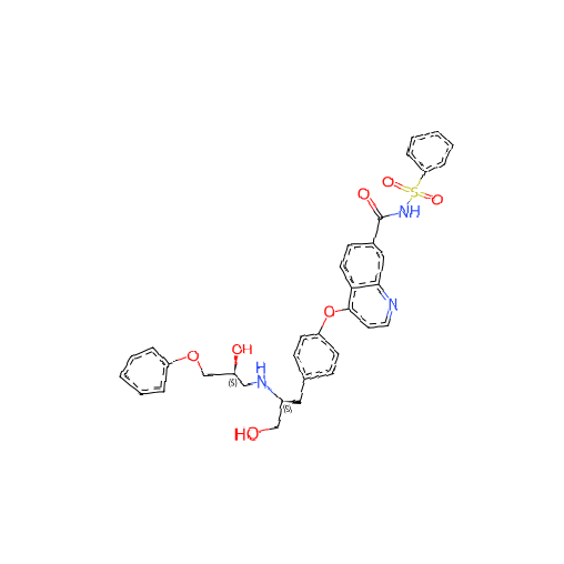 O=C(NS(=O)(=O)c1ccccc1)c1ccc2c(Oc3ccc(C[C@@H](CO)NC[C@H](O)COc4ccccc4)cc3)ccnc2c1